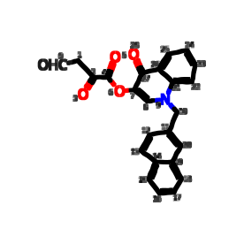 O=CCC(=O)C(=O)Oc1cn(Cc2ccc3ccccc3c2)c2ccccc2c1=O